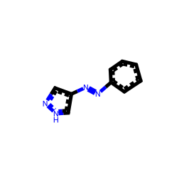 [c]1n[nH]cc1N=Nc1ccccc1